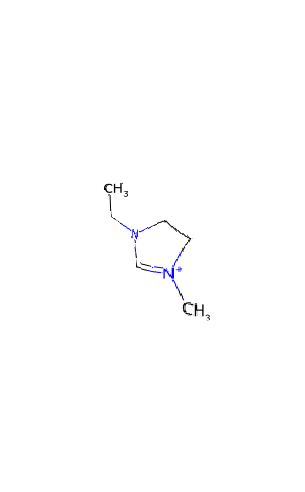 CCN1C=[N+](C)CC1